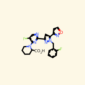 O=C(O)C1CCCCN1c1nc(-c2cc(-c3ccon3)n(Cc3ccccc3F)n2)ncc1F